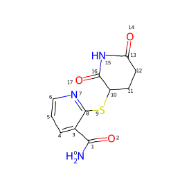 NC(=O)c1cccnc1SC1CCC(=O)NC1=O